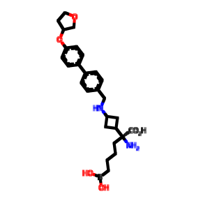 N[C@@](CCCCB(O)O)(C(=O)O)C1CC(NCc2ccc(-c3ccc(OC4CCOC4)cc3)cc2)C1